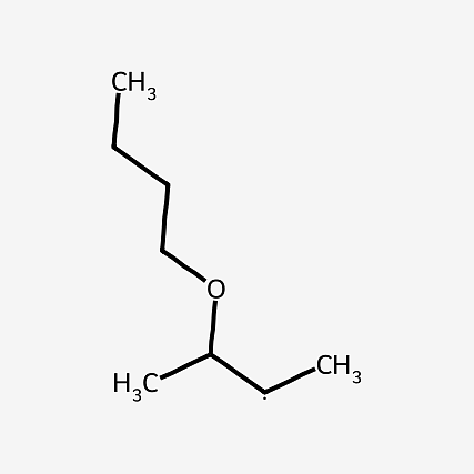 C[CH]C(C)OCCCC